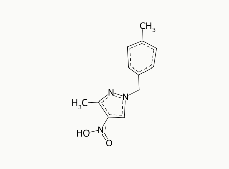 Cc1ccc(Cn2cc([N+](=O)O)c(C)n2)cc1